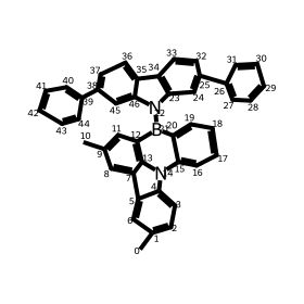 Cc1ccc2c(c1)c1cc(C)cc3c1n2-c1ccccc1B3n1c2cc(-c3ccccc3)ccc2c2ccc(-c3ccccc3)cc21